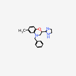 Cc1ccc2c(c1)N(Cc1ccccc1)CC(C1=NCCN1)O2